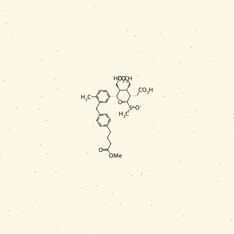 COC(=O)CCCc1ccc(Cc2cc([C@H]3O[C@H]([S@+](C)[O-])[C@@H](CC(=O)O)[C@H](CC(=O)O)[C@@H]3CC(=O)O)ccc2C)cc1